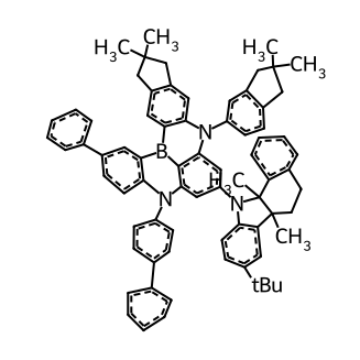 CC1(C)Cc2ccc(N3c4cc5c(cc4B4c6cc(-c7ccccc7)ccc6N(c6ccc(-c7ccccc7)cc6)c6cc(N7c8ccc(C(C)(C)C)cc8C8(C)CCc9ccccc9C78C)cc3c64)CC(C)(C)C5)cc2C1